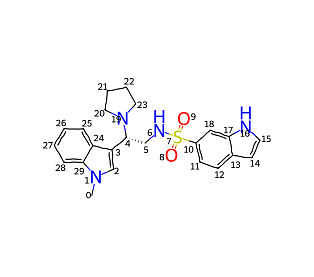 Cn1cc([C@@H](CNS(=O)(=O)c2ccc3cc[nH]c3c2)N2CCCC2)c2ccccc21